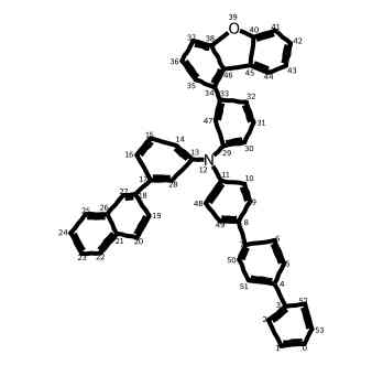 c1ccc(-c2ccc(-c3ccc(N(c4cccc(-c5ccc6ccccc6c5)c4)c4cccc(-c5cccc6oc7ccccc7c56)c4)cc3)cc2)cc1